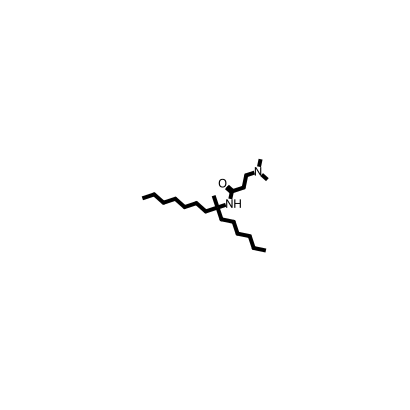 CCCCCCCC(C)(CCCCCC)NC(=O)CCN(C)C